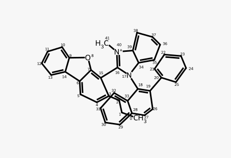 CCCc1ccc2c(oc3ccccc32)c1-c1n(-c2c(-c3ccccc3)ccc3ccccc23)c2ccccc2[n+]1C